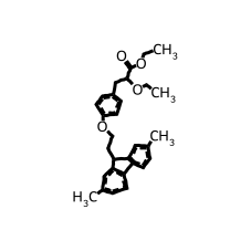 CCOC(=O)C(Cc1ccc(OCCC2c3cc(C)ccc3-c3ccc(C)cc32)cc1)OCC